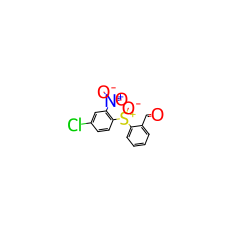 O=Cc1ccccc1[S+]([O-])c1ccc(Cl)cc1[N+](=O)[O-]